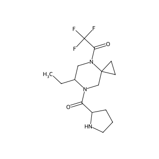 CCC1CN(C(=O)C(F)(F)F)C2(CC2)CN1C(=O)C1CCCN1